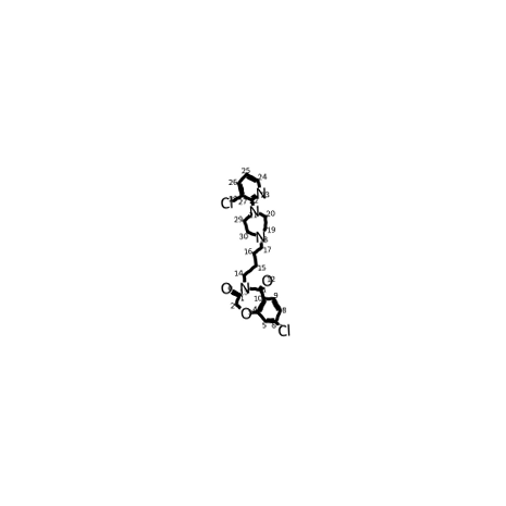 O=C1COc2cc(Cl)ccc2C(=O)N1CCCCN1CCN(c2ncccc2Cl)CC1